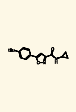 CC(C)(C)c1ccc(-c2cc(C(=O)NC3CC3)no2)cc1